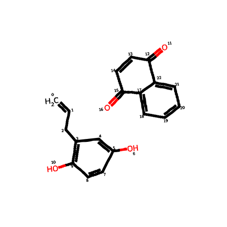 C=CCc1cc(O)ccc1O.O=C1C=CC(=O)c2ccccc21